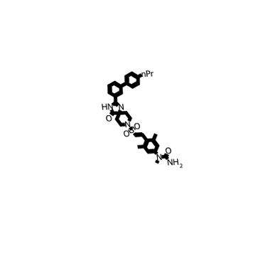 CCCc1ccc(-c2cccc(C3=NC4(CCN(S(=O)(=O)/C=C/c5c(C)cc(N(C)C(N)=O)cc5C)CC4)C(=O)N3)c2)cc1